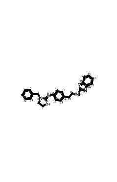 c1ccc(CN2CCS/C2=N\c2ccc(CCNc3nc4ccccc4s3)cc2)cc1